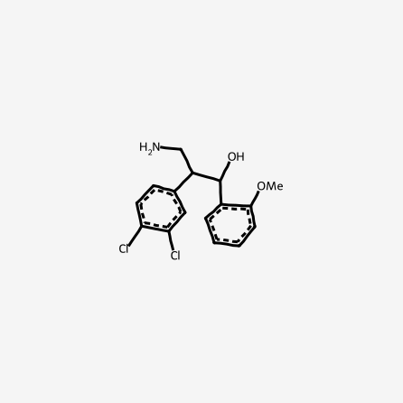 COc1ccccc1C(O)C(CN)c1ccc(Cl)c(Cl)c1